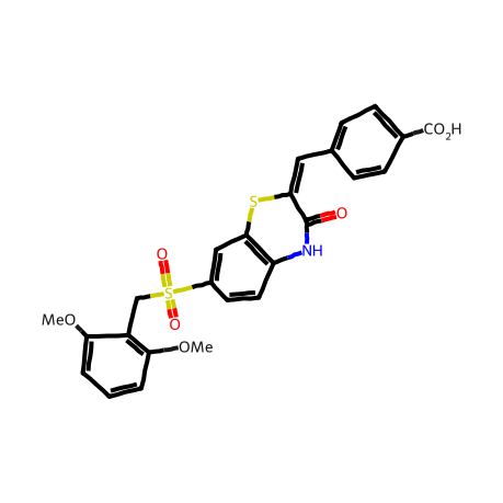 COc1cccc(OC)c1CS(=O)(=O)c1ccc2c(c1)SC(=Cc1ccc(C(=O)O)cc1)C(=O)N2